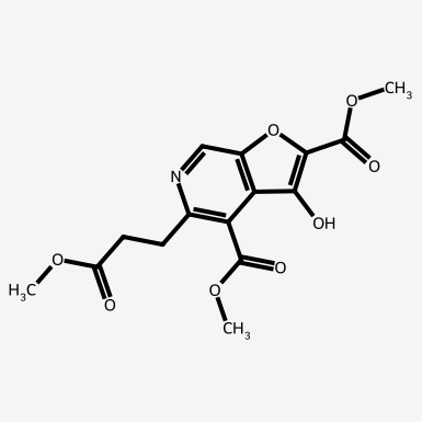 COC(=O)CCc1ncc2oc(C(=O)OC)c(O)c2c1C(=O)OC